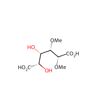 CO[C@@H]([C@@H](O)[C@H](O)C(=O)O)[C@@H](OC)C(=O)O